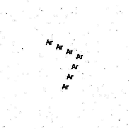 [Ar].[Ar].[Ar].[Ar].[Ar].[Ar].[Ar]